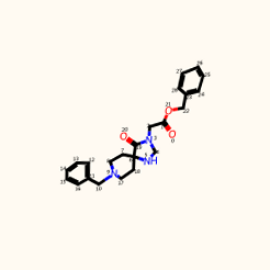 O=C(CN1CNC2(CCN(Cc3ccccc3)CC2)C1=O)OCc1ccccc1